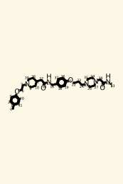 Cc1ccc(OCCN2CCC(CC(=O)NCc3ccc(OCCCN4CCN(CC(=O)NI)CC4)cc3)CC2)cc1